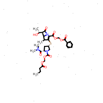 CCCC(=O)OCOC(=O)N1C[C@@H](SC2=C(C(=O)OCOC(=O)c3ccccc3)N3C(=O)C([C@@H](C)O)C3C2C)C[C@H]1C(=O)N(C)C